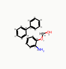 Nc1ccccc1OBO.c1ccc(-c2ccccc2)cc1